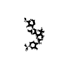 COc1nccc(-n2cc(-c3nc(NC4CCN([S+](C)[O-])CC4F)ncc3C(F)(F)F)nc2C)c1F